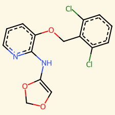 Clc1cccc(Cl)c1COc1cccnc1NC1=COCO1